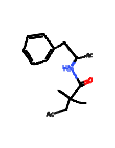 CC(=O)CC(C)(C)C(=O)NC(Cc1ccccc1)C(C)=O